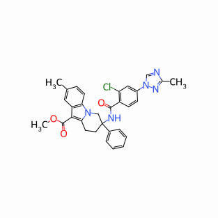 COC(=O)c1c2n(c3ccc(C)cc13)CC(NC(=O)c1ccc(-n3cnc(C)n3)cc1Cl)(c1ccccc1)CC2